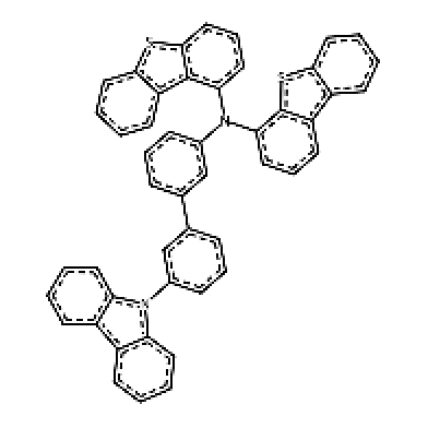 c1cc(-c2cccc(-n3c4ccccc4c4ccccc43)c2)cc(N(c2cccc3c2sc2ccccc23)c2cccc3sc4ccccc4c23)c1